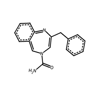 NC(=O)N1C=C(Cc2ccccc2)N=c2ccccc2=C1